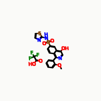 COc1ccccc1-c1ncc(O)c2cc(S(=O)(=O)Nc3nccs3)ccc12.O=C(O)C(F)(F)F